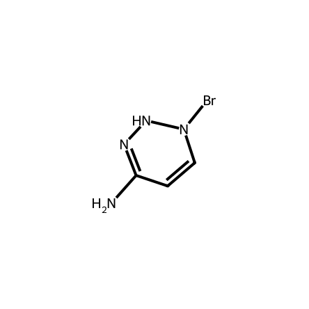 NC1=NNN(Br)C=C1